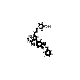 Nc1ncnn2c(CCCN3CCC(O)C3)cc(-c3ccc4cn(Cc5ccccc5)nc4c3)c12